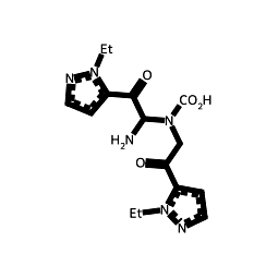 CCn1nccc1C(=O)CN(C(=O)O)C(N)C(=O)c1ccnn1CC